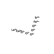 [Cu+2].[Fe+3].[La+3].[O-2].[O-2].[O-2].[O-2].[O-2].[Sr+2]